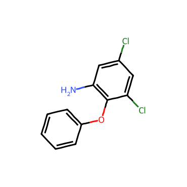 Nc1cc(Cl)cc(Cl)c1Oc1ccccc1